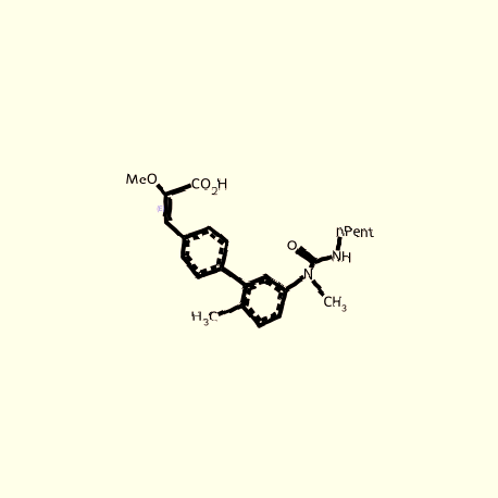 CCCCCNC(=O)N(C)c1ccc(C)c(-c2ccc(/C=C(/OC)C(=O)O)cc2)c1